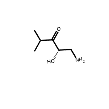 CC(C)C(=O)[C@@H](O)CN